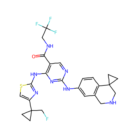 O=C(NCC(F)(F)F)c1cnc(Nc2ccc3c(c2)CNCC32CC2)nc1Nc1nc(C2(CF)CC2)cs1